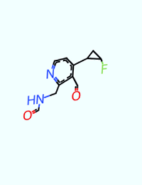 O=CNCc1nccc(C2CC2F)c1C=O